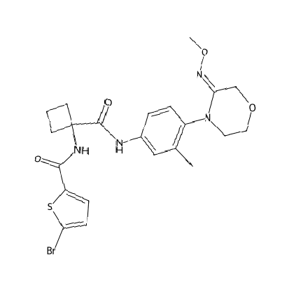 CON=C1COCCN1c1ccc(NC(=O)C2(NC(=O)c3ccc(Br)s3)CCC2)cc1C